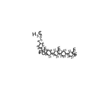 CCCCCc1ccc(C(F)(F)Oc2ccc(-c3ccc(-c4ccc(-c5ccc(F)c(F)c5)cc4)c(F)c3)cc2)cc1